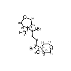 C[N+]1(C(Br)CCC(Br)[N+]2(C)CCOCC2)CCOCC1